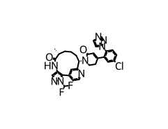 C[C@@H]1CCC[C@H](N2CCC(c3cc(Cl)ccc3-n3ccnn3)=CC2=O)c2cc(ccn2)-c2c(cnn2C(F)F)NC1=O